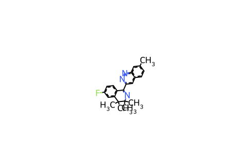 Cc1ccc2cc(C3=NC(C)(C)C(C)(C)c4cc(F)ccc43)nnc2c1